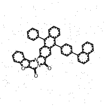 O=c1c2cc3c(-c4ccc(-c5cccc6ccccc56)cc4)c4ccccc4c(-c4ccccc4)c3cc2n2c3c(oc4ccccc43)c(=O)n12